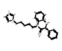 O=C1C(c2ccccc2)Oc2ccccc2N1CCCCCn1ccnc1